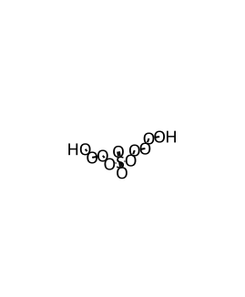 O=S(=O)(OOOO)OOOOO